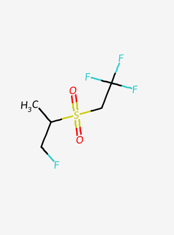 CC(CF)S(=O)(=O)CC(F)(F)F